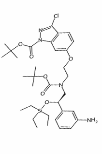 CC[Si](CC)(CC)O[C@@H](CN(CCOc1ccc2c(Cl)nn(C(=O)OC(C)(C)C)c2c1)C(=O)OC(C)(C)C)c1cccc(N)c1